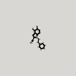 Cc1ccc2c(cc(C#N)n2CCc2ccccc2)c1C